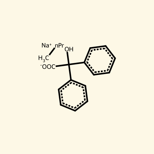 CCCC.O=C([O-])C(O)(c1ccccc1)c1ccccc1.[Na+]